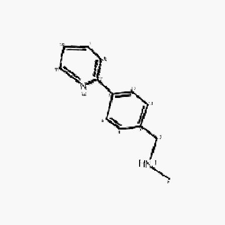 CNCc1ccc(-c2ccccn2)cc1